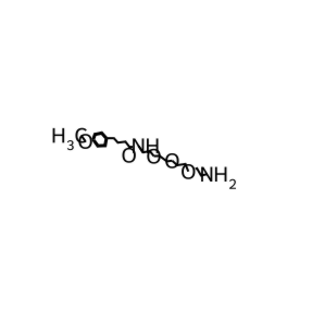 COc1ccc(CCCC(=O)NCCOCCOCCOCCN)cc1